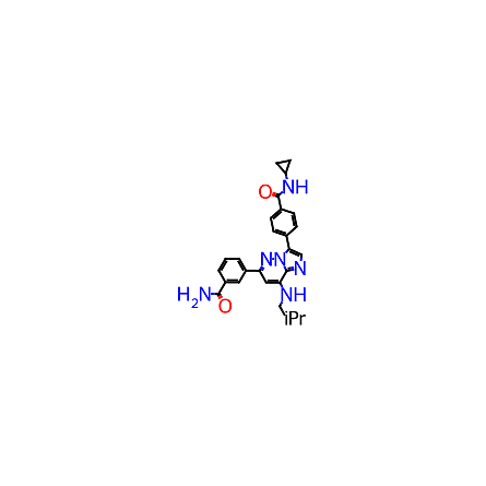 CC(C)CNc1cc(-c2cccc(C(N)=O)c2)nn2c(-c3ccc(C(=O)NC4CC4)cc3)cnc12